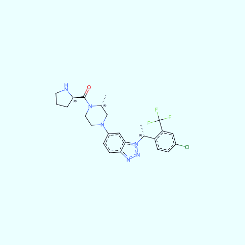 C[C@@H]1CN(c2ccc3nnn([C@H](C)c4ccc(Cl)cc4C(F)(F)F)c3c2)CCN1C(=O)[C@H]1CCCN1